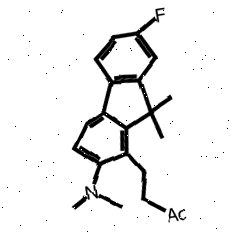 CC(=O)CCc1c(N(C)C)ccc2c1C(C)(C)c1cc(F)ccc1-2